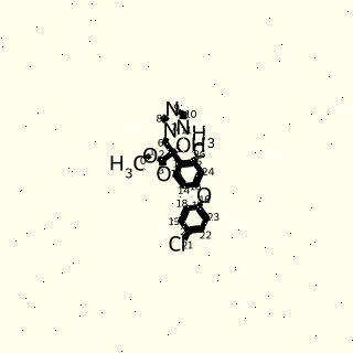 COC(=O)C(O)(Cn1cncn1)c1ccc(Oc2ccc(Cl)cc2)cc1C